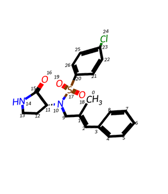 C/C(=C\c1ccccc1)CN([C@@H]1CCNC1=O)S(=O)(=O)c1ccc(Cl)cc1